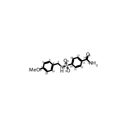 COc1ccc(CNS(=O)(=O)c2ccc(C(N)=O)cc2)cc1